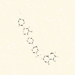 CCCc1ccc(-c2ccc(-c3ccc(-c4ccc(C(F)(F)Oc5cc(F)c6c(F)c(F)c(F)cc6c5)c(F)c4)cc3)c(F)c2F)cc1